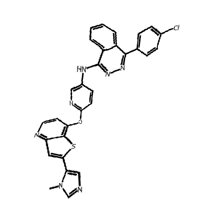 Cn1cncc1-c1cc2nccc(Oc3ccc(Nc4nnc(-c5ccc(Cl)cc5)c5ccccc45)cn3)c2s1